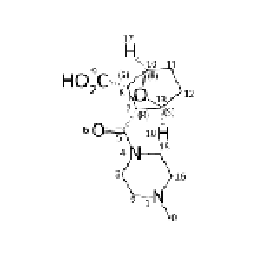 CN1CCN(C(=O)[C@@H]2[C@H](C(=O)O)[C@H]3CC[C@@H]2O3)CC1